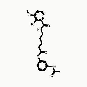 COc1ccnc(C(=O)NCCCCC(=O)Oc2cccc(NC(C)=O)c2)c1O